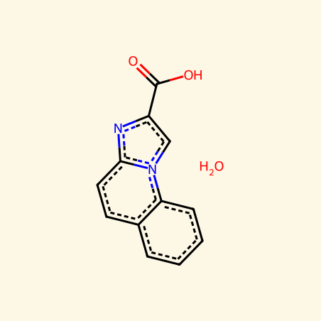 O.O=C(O)c1cn2c(ccc3ccccc32)n1